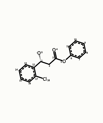 [O][C@H](CC(=O)Oc1ccccc1)c1ccccc1Cl